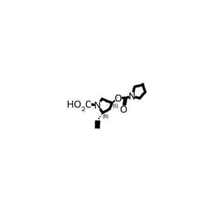 C#C[C@H]1C[C@H](OC(=O)N2CCCC2)CN1C(=O)O